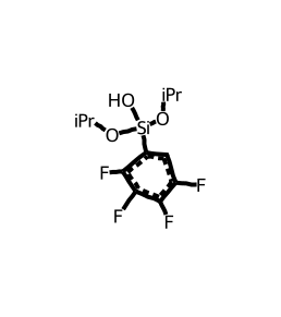 CC(C)O[Si](O)(OC(C)C)c1cc(F)c(F)c(F)c1F